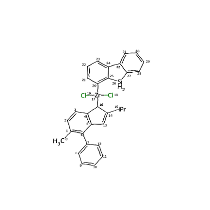 Cc1ccc2c(c1-c1ccccc1)C=C(C(C)C)[CH]2[Zr]([Cl])([Cl])[c]1cccc2c1[SiH2]c1ccccc1-2